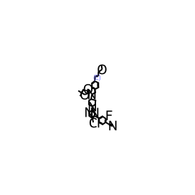 COC/C=C/c1ccc(CN(C(=O)OC(C)(C)C)C2CCN(c3ncc(Cl)c(-c4ccc(C#N)c(F)c4)n3)CC2)cc1